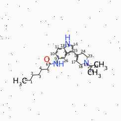 CCCCCCC(=O)Nc1ccc2[nH]cc(C3=CCN(C(C)C)CC3)c2c1